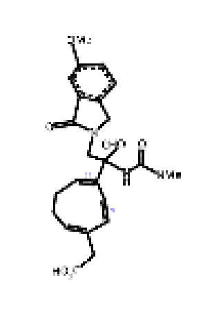 CNC(=O)NC(C=O)(CN1Cc2ccc(OC)cc2C1=O)C1=C/CCC=C(CC(=O)O)/C=C\1